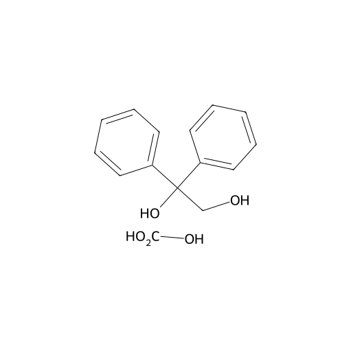 O=C(O)O.OCC(O)(c1ccccc1)c1ccccc1